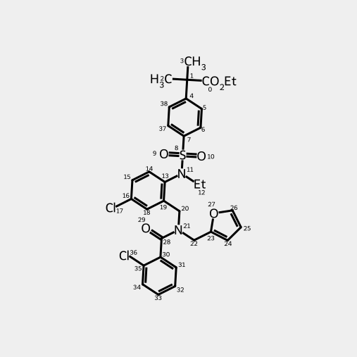 CCOC(=O)C(C)(C)c1ccc(S(=O)(=O)N(CC)c2ccc(Cl)cc2CN(Cc2ccco2)C(=O)c2ccccc2Cl)cc1